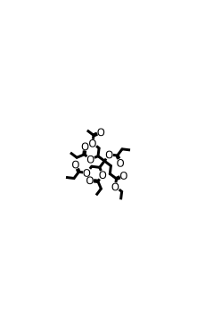 CCOC(=O)CCC(OC(=O)CC)(C(COC(C)=O)OC(=O)CC)C(COC(=O)CC)OC(=O)CC